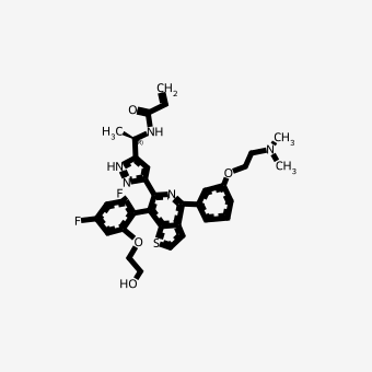 C=CC(=O)N[C@H](C)c1cc(-c2nc(-c3cccc(OCCN(C)C)c3)c3ccsc3c2-c2c(F)cc(F)cc2OCCO)n[nH]1